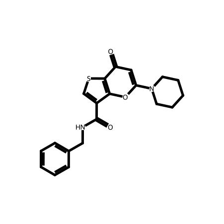 O=C(NCc1ccccc1)c1csc2c(=O)cc(N3CCCCC3)oc12